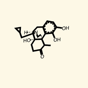 CC1C(=O)CC[C@@]2(O)[C@H]3Cc4ccc(O)c(O)c4[C@@]12CCN3CC1CC1